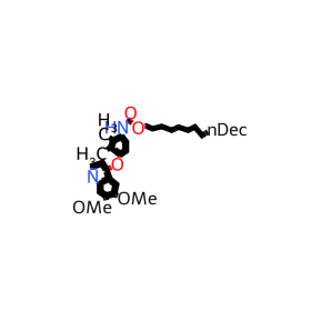 CCCCCCCCCCCCCCCCCCOC(=O)Nc1ccc(Oc2ccnc3cc(OC)c(OC)cc23)c(C)c1C